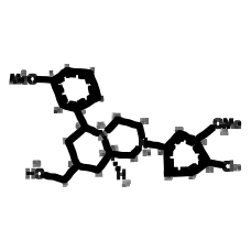 COc1cccc(C2CC(CO)C[C@@H]3CN(c4ccc(Cl)c(OC)c4)CCN23)c1